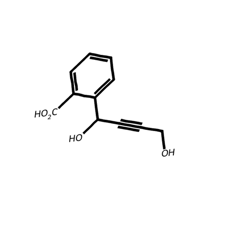 O=C(O)c1ccccc1C(O)C#CCO